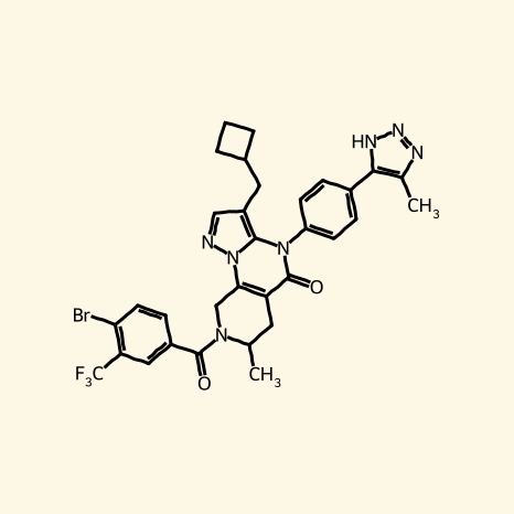 Cc1nn[nH]c1-c1ccc(-n2c(=O)c3c(n4ncc(CC5CCC5)c24)CN(C(=O)c2ccc(Br)c(C(F)(F)F)c2)C(C)C3)cc1